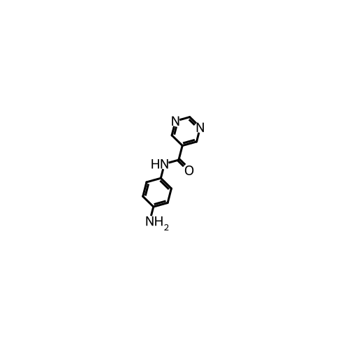 Nc1ccc(NC(=O)c2cncnc2)cc1